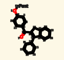 CCCCCOc1ccc(C(=O)C2=C(c3ccccc3)c3ccccc3C2)cc1